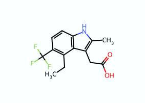 CCc1c(C(F)(F)F)ccc2[nH]c(C)c(CC(=O)O)c12